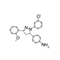 COc1ccccc1C1=NN(c2cccc(Cl)c2)C(c2ccc(N)cc2)C1